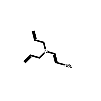 C=CCN(C=CCCCC)CC=C